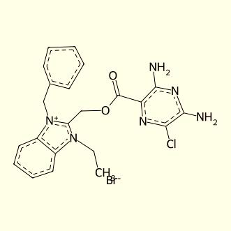 CCn1c(COC(=O)c2nc(Cl)c(N)nc2N)[n+](Cc2ccccc2)c2ccccc21.[Br-]